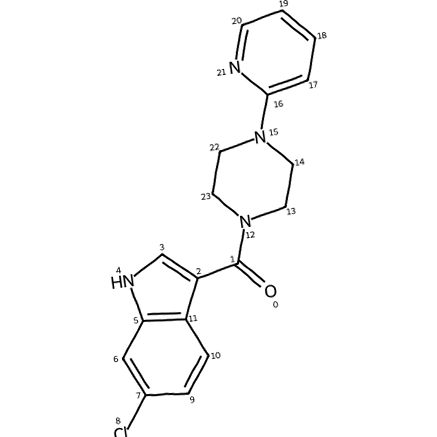 O=C(c1c[nH]c2cc(Cl)ccc12)N1CCN(c2ccccn2)CC1